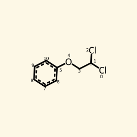 Cl[C](Cl)COc1ccccc1